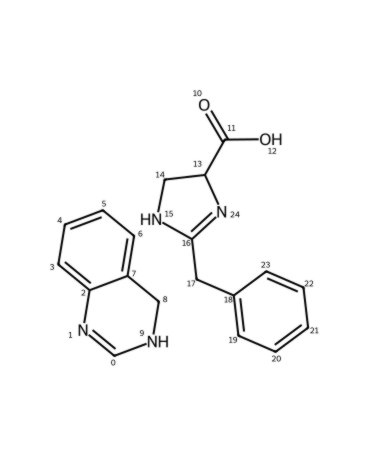 C1=Nc2ccccc2CN1.O=C(O)C1CNC(Cc2ccccc2)=N1